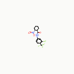 O=C(Nc1ccc(C(F)(F)F)c(F)c1)c1ccccc1[N+](=O)[O-]